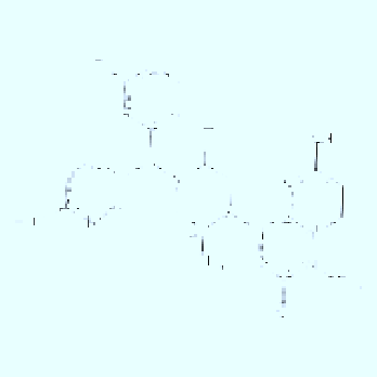 Cc1ccc(C(c2cccc(F)c2)N2C[C@H](C)N(c3cc(=O)n(C)c4ccc(C#N)nc34)CC2C)cn1